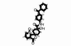 O=C(c1ccccc1)c1ccc(NC(=O)C2(O)CCC3(CC2)OC(=O)c2ccc[n+]([O-])c23)cc1